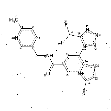 Cc1ccc(CNC(=O)c2cc(-n3nnnc3C(F)F)c3ncc(Br)n3c2)cn1